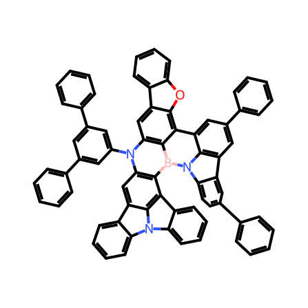 c1ccc(-c2cc(-c3ccccc3)cc(N3c4cc5c(oc6ccccc65)c5c4B(c4c3cc3c6ccccc6n6c7ccccc7c4c36)n3c4ccc(-c6ccccc6)cc4c4cc(-c6ccccc6)cc-5c43)c2)cc1